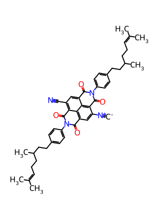 [C-]#[N+]c1cc2c3c(c(C#N)cc4c3c1C(=O)N(c1ccc(CCC(C)CCC=C(C)C)cc1)C4=O)C(=O)N(c1ccc(CCC(C)CCC=C(C)C)cc1)C2=O